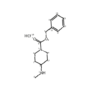 CNC1CCN(C(=O)OCc2ccccc2)CC1.Cl